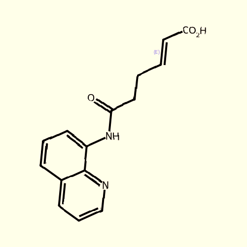 O=C(O)/C=C/CCC(=O)Nc1cccc2cccnc12